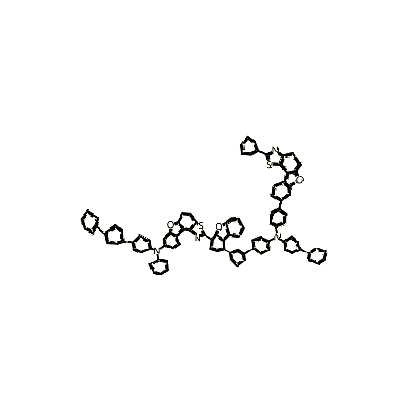 c1ccc(-c2ccc(-c3ccc(N(c4ccccc4)c4ccc5c(c4)oc4ccc6sc(-c7ccc(-c8cccc(-c9ccc(N(c%10ccc(-c%11ccccc%11)cc%10)c%10ccc(-c%11ccc%12c(c%11)oc%11ccc%13nc(-c%14ccccc%14)sc%13c%11%12)cc%10)cc9)c8)c8c7oc7ccccc78)nc6c45)cc3)cc2)cc1